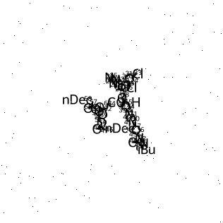 CCC(C)n1ncn(-c2ccc(N3CCN(c4ccc(OCC5COC(Cn6cncn6)(c6ccc(Cl)cc6Cl)O5)cc4)CC3)cc2)c1=O.CCCCCCCCCCCC(=O)OCC(COC(=O)CCCCCCCCCCC)OC(=O)CCC(=O)O